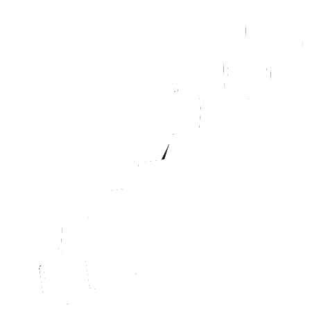 Cc1ccc(N2C[C@@H](CNCC[C@H]3Cn4c(=O)ccc5ccc(F)c3c54)OC2=O)cc1F